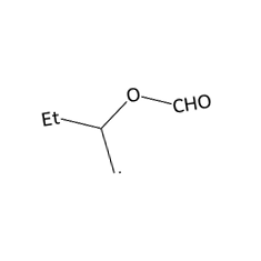 [CH2]C(CC)OC=O